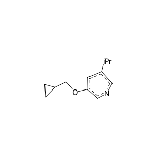 CC(C)c1cncc(OCC2CC2)c1